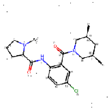 CC(=O)N1CCCC1C(=O)Nc1ccc(Cl)cc1C(=O)N1C[C@H](C)C[C@H](C)C1